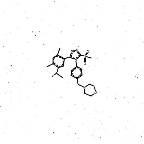 Cc1cc(C)c(C(C)C)cc1-c1nnc(S(C)(=O)=O)n1-c1ccc(CN2CCOCC2)cc1